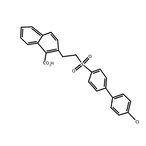 O=C(O)c1c(CCS(=O)(=O)c2ccc(-c3ccc(Cl)cc3)cc2)ccc2ccccc12